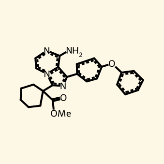 COC(=O)C1(c2nc(-c3ccc(Oc4ccccc4)cc3)c3c(N)nccn23)CCCCC1